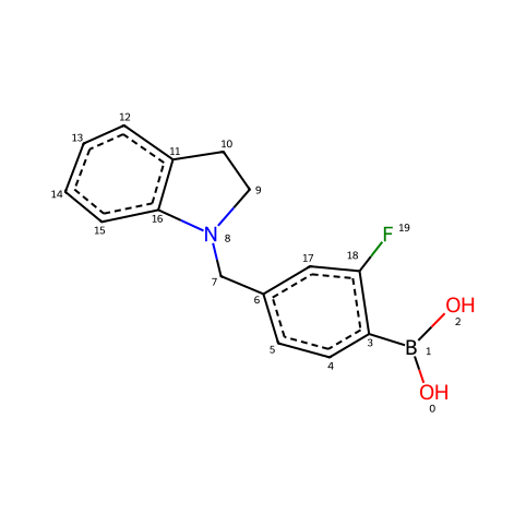 OB(O)c1ccc(CN2CCc3ccccc32)cc1F